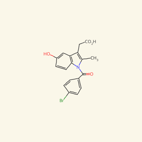 Cc1c(CC(=O)O)c2cc(O)ccc2n1C(=O)c1ccc(Br)cc1